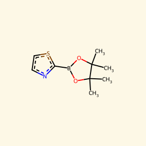 CC1(C)OB(c2nccs2)OC1(C)C